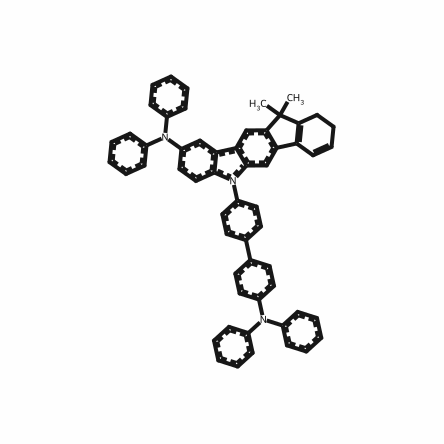 CC1(C)C2=C(C=CCC2)c2cc3c(cc21)c1cc(N(c2ccccc2)c2ccccc2)ccc1n3-c1ccc(-c2ccc(N(c3ccccc3)c3ccccc3)cc2)cc1